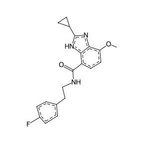 COc1ccc(C(=O)NCCc2ccc(F)cc2)c2[nH]c(C3CC3)nc12